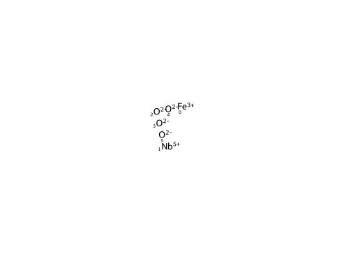 [Fe+3].[Nb+5].[O-2].[O-2].[O-2].[O-2]